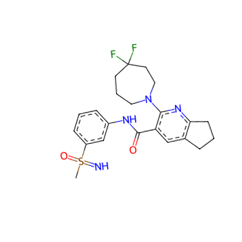 CS(=N)(=O)c1cccc(NC(=O)c2cc3c(nc2N2CCCC(F)(F)CC2)CCC3)c1